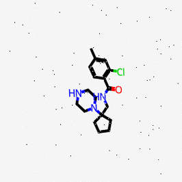 Cc1ccc(C(=O)NCC2(N3CCNCC3)CCCC2)c(Cl)c1